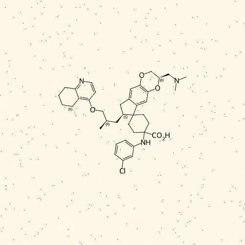 C[C@@H](COc1ccnc2c1[C@H](C)CCC2)C[C@H]1Cc2cc3c(cc2C12CCC(Nc1cccc(Cl)c1)(C(=O)O)CC2)O[C@H](CN(C)C)CO3